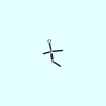 CN=P(C)(C)Cl